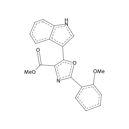 COC(=O)c1nc(-c2ccccc2OC)oc1-c1c[nH]c2ccccc12